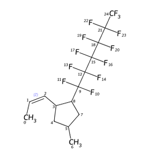 C/C=C\C1CC(C)CC1C(F)(F)C(F)(F)C(F)(F)C(F)(F)C(F)(F)C(F)(F)F